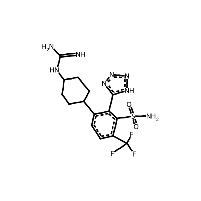 N=C(N)NC1CCC(c2ccc(C(F)(F)F)c(S(N)(=O)=O)c2-c2nnn[nH]2)CC1